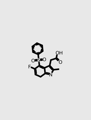 CC1=C(CC(=O)O)C2=C(S(=O)(=O)c3ccccc3)C(F)=CCC2=N1